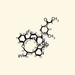 C=CC(=O)N1CCN(/C(=N/C)c2cc(F)c3nc2N(C=O)c2c(ccnc2C(C)C)CC(CC(C)C)COc2cccc(F)c2-3)C(C)C1